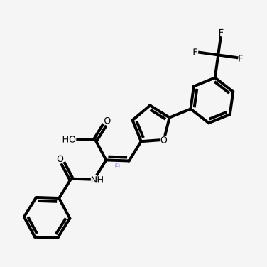 O=C(O)/C(=C\c1ccc(-c2cccc(C(F)(F)F)c2)o1)NC(=O)c1ccccc1